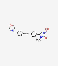 CN1C(=O)N(CO)CC1c1ccc(C#Cc2ccc(CN3CCOCC3)cc2)cc1